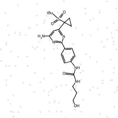 CC(C)(C)S(=O)(=O)C1(c2cc(N)nc(-c3ccc(NC(=O)NCCCO)cc3)n2)CC1